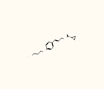 CC(C)CCCOc1ccc(C=CCOC(=O)C2CC2)cc1